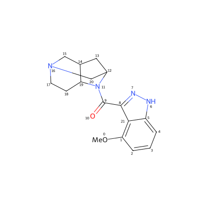 COc1cccc2[nH]nc(C(=O)N3C4CC5CN(CCC53)C4)c12